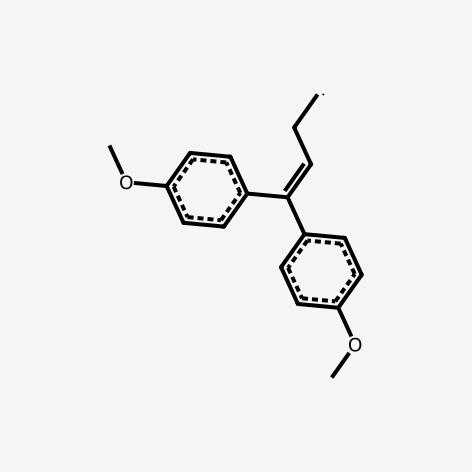 [CH2]CC=C(c1ccc(OC)cc1)c1ccc(OC)cc1